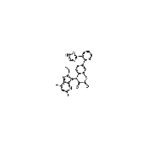 CCc1nc2c(C)cc(C)nc2n1C1C(=O)C(=O)Sc2cc(-c3ccccc3-c3nn[nH]n3)ccc21